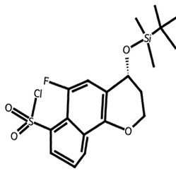 CC(C)(C)[Si](C)(C)O[C@@H]1CCOc2c1cc(F)c1c(S(=O)(=O)Cl)cccc21